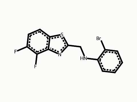 Fc1ccc2sc(CNc3ccccc3Br)nc2c1F